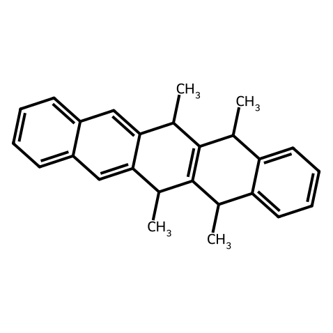 CC1C2=C(C(C)c3ccccc31)C(C)c1cc3ccccc3cc1C2C